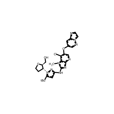 Cn1c(Nc2cc(C(C)(C)C)n([C@@H]3CCO[C@H]3CO)n2)nc2ncc(Oc3cnn4ccnc4c3)c(Cl)c21